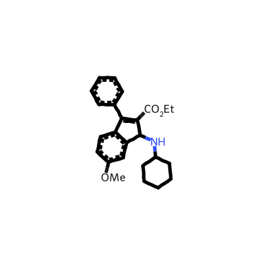 CCOC(=O)C1=C(c2ccccc2)c2ccc(OC)cc2C1NC1CCCCC1